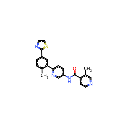 Cc1cnccc1C(=O)Nc1ccc(-c2cc(-c3nccs3)ccc2C)nc1